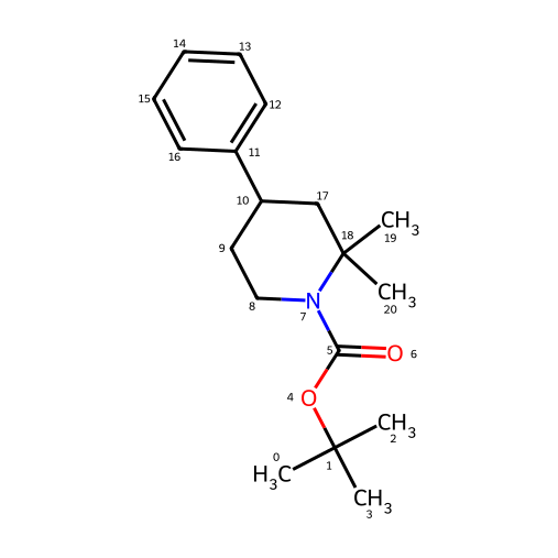 CC(C)(C)OC(=O)N1CCC(c2ccccc2)CC1(C)C